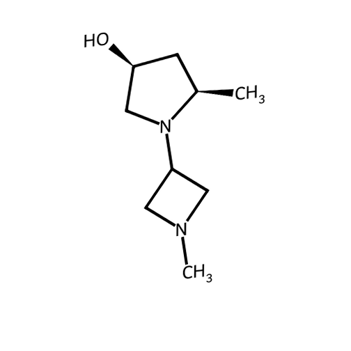 C[C@@H]1C[C@H](O)CN1C1CN(C)C1